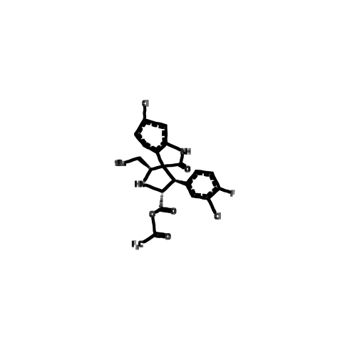 CC(C)(C)C[C@@H]1N[C@@H](C(=O)OC(=O)C(F)(F)F)[C@H](c2ccc(F)c(Cl)c2)C12C(=O)Nc1cc(Cl)ccc12